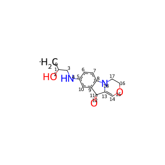 [CH2]C(O)CNc1ccc2c(c1)C(=O)C1=COCCN12